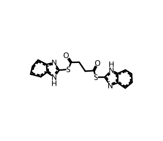 O=C(CCC(=O)Sc1nc2ccccc2[nH]1)Sc1nc2ccccc2[nH]1